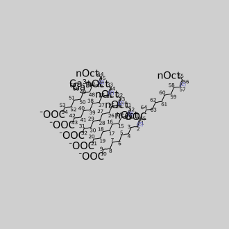 CCCCCCCC/C=C\CCCCCCCC(=O)[O-].CCCCCCCC/C=C\CCCCCCCC(=O)[O-].CCCCCCCC/C=C\CCCCCCCC(=O)[O-].CCCCCCCC/C=C\CCCCCCCC(=O)[O-].CCCCCCCC/C=C\CCCCCCCC(=O)[O-].CCCCCCCC/C=C\CCCCCCCC(=O)[O-].[Ga+3].[Ga+3]